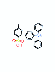 C[N+](c1ccccc1)(c1ccccc1)c1ccccc1.Cc1ccc(S(=O)(=O)O)cc1